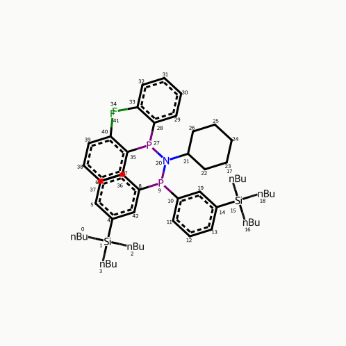 CCCC[Si](CCCC)(CCCC)c1cccc(P(c2cccc([Si](CCCC)(CCCC)CCCC)c2)N(C2CCCCC2)P(c2ccccc2F)c2ccccc2F)c1